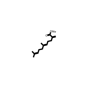 C=C(CC/C=C(\C)CCC=C(C)C)C(=O)OC